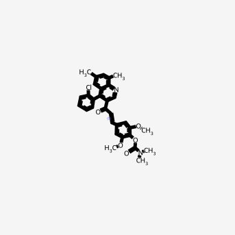 COc1cc(/C=C/C(=O)c2cnc3c(C)cc(C)cc3c2-c2ccccc2Cl)cc(OC)c1OC(=O)N(C)C